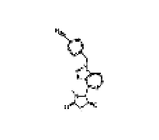 CN1C(=O)SC(=O)C1c1cccc2c1ccn2Cc1ccc(C#N)cc1